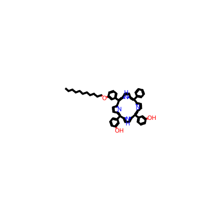 CCCCCCCCCCCOc1cccc(-c2c3nc(c(-c4cccc(O)c4)c4ccc([nH]4)c(-c4cccc(O)c4)c4nc(c(-c5ccccc5)c5ccc2[nH]5)C=C4)C=C3)c1